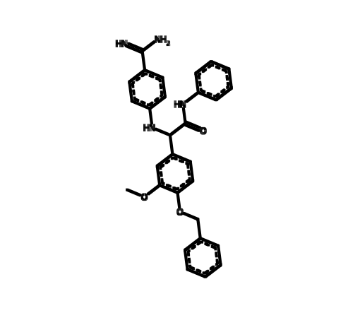 COc1cc(C(Nc2ccc(C(=N)N)cc2)C(=O)Nc2ccccc2)ccc1OCc1ccccc1